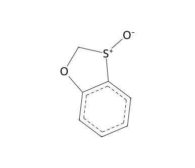 [O-][S+]1COc2ccccc21